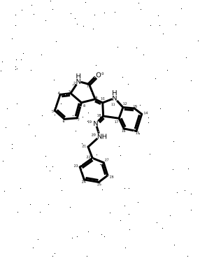 O=C1Nc2ccccc2/C1=C1/Nc2ccccc2/C1=N\NCc1ccccc1